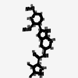 COc1ccc(-c2cc3cc(NC(=O)c4n[nH]c(C)c4C)cnc3[nH]2)c(OC)n1